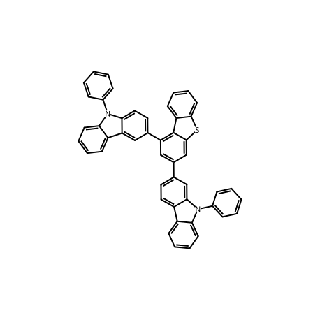 c1ccc(-n2c3ccccc3c3cc(-c4cc(-c5ccc6c7ccccc7n(-c7ccccc7)c6c5)cc5sc6ccccc6c45)ccc32)cc1